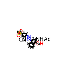 CC(=O)Nc1cc(/N=N/c2ccc(S(C)(=O)=O)cc2C#N)c2ccccc2c1O